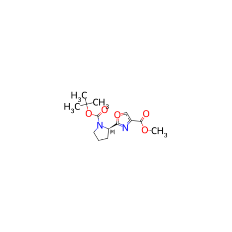 COC(=O)c1coc([C@H]2CCCN2C(=O)OC(C)(C)C)n1